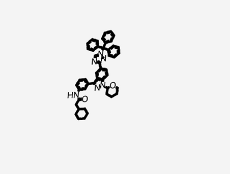 O=C(CC1CCCCC1)Nc1cccc(-c2nn(C3CCCCO3)c3ccc(-c4ncn(C(c5ccccc5)(c5ccccc5)c5ccccc5)n4)cc23)c1